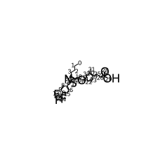 CCCCc1nc(-c2ccc(C(F)(F)F)cc2)sc1COc1ccc(CCC(=O)O)c(C)c1